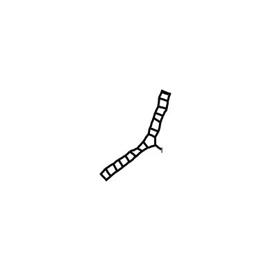 IC1C2C(C3C1C1C3C3C1C1C4C5C6CCC6C5C4C13)C1C2C2C3C4C5C=CC5C4C3C12